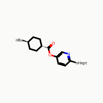 CCCCCCCc1ccc(OC(=O)[C@H]2CC[C@H](CCCC)CC2)cn1